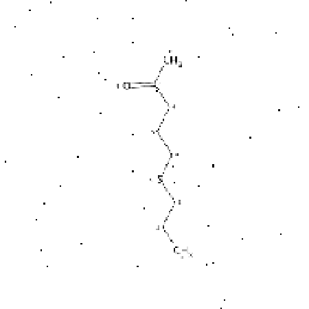 CCCSCCCC(C)=O